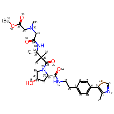 Cc1ncsc1-c1ccc(CCNC(=O)[C@@H]2C[C@@H](O)CN2C(=O)C(C)(C)[C@H](C)NC(=O)CN(C)CC(=O)OC(C)(C)C)cc1